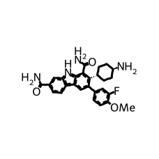 COc1ccc(-c2cc3c([nH]c4cc(C(N)=O)ccc43)c(C(N)=O)c2[C@H]2CC[C@H](N)CC2)cc1F